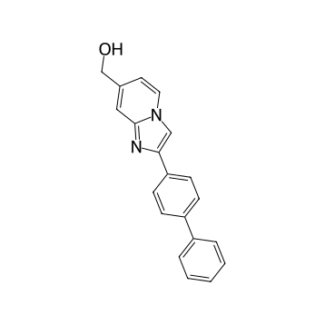 OCc1ccn2cc(-c3ccc(-c4ccccc4)cc3)nc2c1